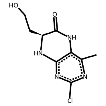 Cc1nc(Cl)nc2c1NC(=O)[C@H](CCO)N2